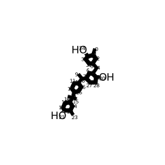 Cc1cc(Cc2cc(C(C)c3ccc(C(C)(C)c4ccc(O)c(C)c4)cc3)ccc2O)ccc1O